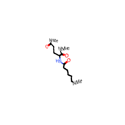 CNCCCCCC(=O)NC(CCC(=O)NC)C(=O)NC